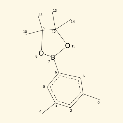 Cc1cc(C)cc(B2OC(C)(C)C(C)(C)O2)c1